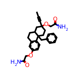 CC#CC1(OCC(N)=O)CCC2(Cc3ccccc3)c3ccc(OCC(N)=O)cc3CCC2C1